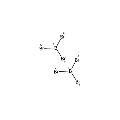 BrB(Br)Br.BrB(Br)Br